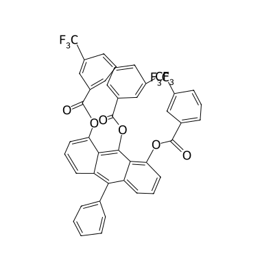 O=C(Oc1cccc2c(-c3ccccc3)c3cccc(OC(=O)c4cccc(C(F)(F)F)c4)c3c(OC(=O)c3cccc(C(F)(F)F)c3)c12)c1cccc(C(F)(F)F)c1